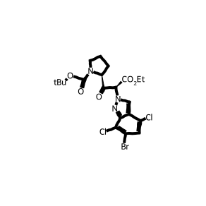 CCOC(=O)[C@H](C(=O)[C@@H]1CCCN1C(=O)OC(C)(C)C)n1cc2c(Cl)cc(Br)c(Cl)c2n1